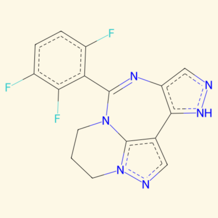 Fc1ccc(F)c(C2=Nc3cn[nH]c3-c3cnn4c3N2CCC4)c1F